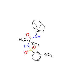 CC(C)(NS(=O)(=O)c1cccc([N+](=O)[O-])c1)C(=O)NC1C2CC3CC(C2)CC1C3